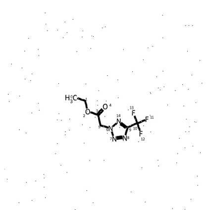 CCOC(=O)Cn1nnc(C(F)(F)F)n1